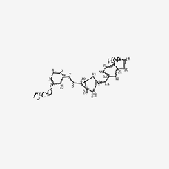 FC(F)(F)Oc1cccc([CH]CC2C3CN(Cc4ccc5[nH]ccc5c4)CC23)c1